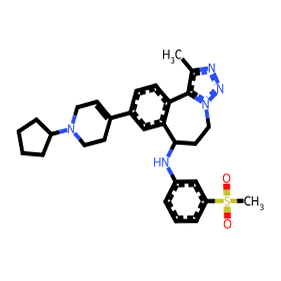 Cc1nnn2c1-c1ccc(C3=CCN(C4CCCC4)CC3)cc1C(Nc1cccc(S(C)(=O)=O)c1)CC2